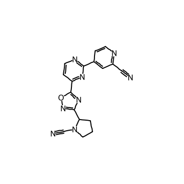 N#Cc1cc(-c2nccc(-c3nc(C4CCCN4C#N)no3)n2)ccn1